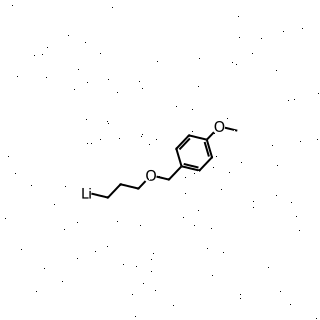 [Li][CH2]CCOCc1ccc(OC)cc1